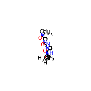 CCN(CC)C(=O)C1CCCN(C(=O)c2cn3c(C(=O)NC[C@@H]4CC[C@H]5C[C@H]4C5(C)C)cccc3n2)C1